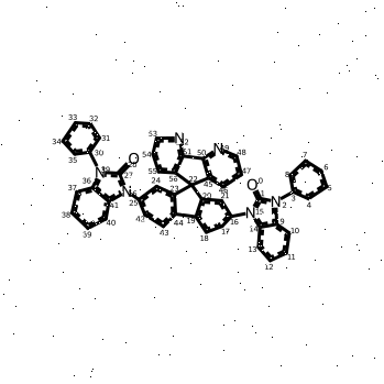 O=c1n(-c2ccccc2)c2ccccc2n1-c1ccc2c(c1)C1(c3cc(-n4c(=O)n(-c5ccccc5)c5ccccc54)ccc3-2)c2cccnc2-c2ncccc21